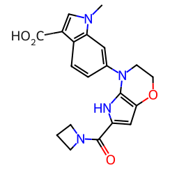 Cn1cc(C(=O)O)c2ccc(N3CCOc4cc(C(=O)N5CCC5)[nH]c43)cc21